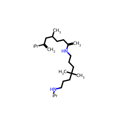 C=C(CCC(C)CC(=C)C(C)C)NCCCC(C)(C)CCCNC(C)C